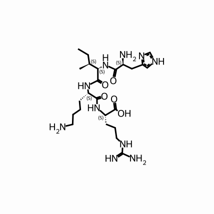 CC[C@H](C)[C@H](NC(=O)[C@@H](N)Cc1c[nH]cn1)C(=O)N[C@@H](CCCCN)C(=O)N[C@@H](CCCNC(=N)N)C(=O)O